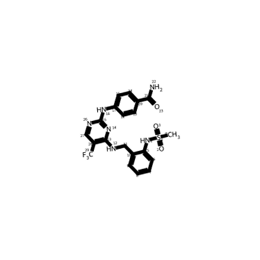 CS(=O)(=O)Nc1ccccc1CNc1nc(Nc2ccc(C(N)=O)cc2)ncc1C(F)(F)F